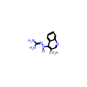 CCN(N=C(N)N)c1c(C(=O)O)cnc2ccccc12